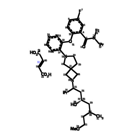 CCN(C(=O)c1cc(F)ccc1Oc1nncnc1N1CCC2(C1)CN(C(C[C@@H](O)CN(C)CCOC)C(C)C)C2)C(C)C.O=C(O)/C=C/C(=O)O